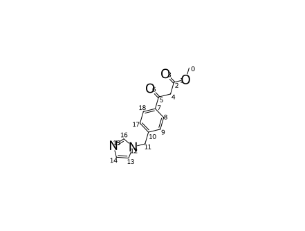 COC(=O)CC(=O)c1ccc(Cn2ccnc2)cc1